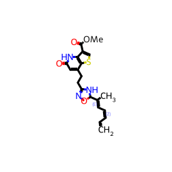 C=C/C=C\C=C(/C)C1NC(CCc2cc(=O)[nH]c3c(C(=O)OC)csc23)=NO1